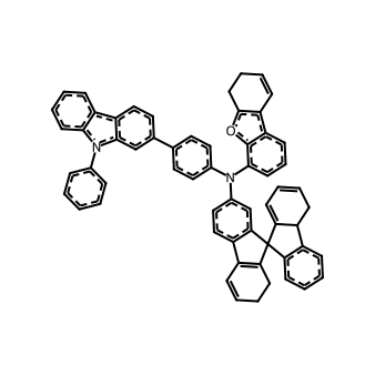 C1=CCC2C(=C1)C1(C3=C(C=CCC3)c3ccc(N(c4ccc(-c5ccc6c7ccccc7n(-c7ccccc7)c6c5)cc4)c4cccc5c6c(oc45)CCC=C6)cc31)c1ccccc12